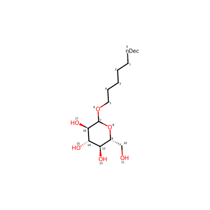 CCCCCCCCCCCCCCCOC1O[C@H](CO)[C@@H](O)[C@H](O)[C@H]1O